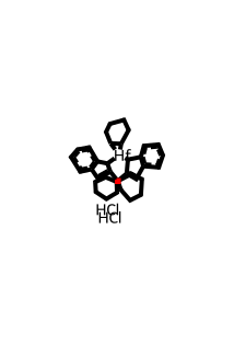 C1=C(C2CCCCC2)[CH]([Hf]2([CH]3C(C4CCCCC4)=Cc4ccccc43)[CH]3CCCC[CH]32)c2ccccc21.Cl.Cl